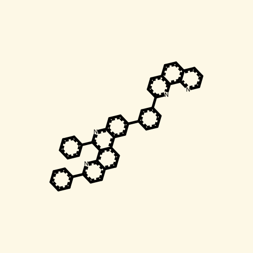 c1ccc(-c2ccc3ccc4c5cc(-c6cccc(-c7ccc8ccc9cccnc9c8n7)c6)ccc5nc(-c5ccccc5)c4c3n2)cc1